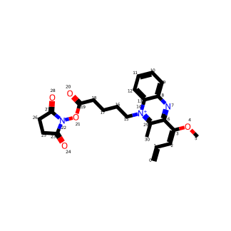 C=C/C=C(/OC)c1nc2ccccc2[n+](CCCCC(=O)ON2C(=O)CCC2=O)c1C